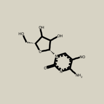 Nc1nc(=O)n([C@@H]2O[C@H](CO)C(O)C2O)cc1N=O